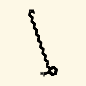 CCCCCCCCCCCCCCCCSSc1ccccc1C